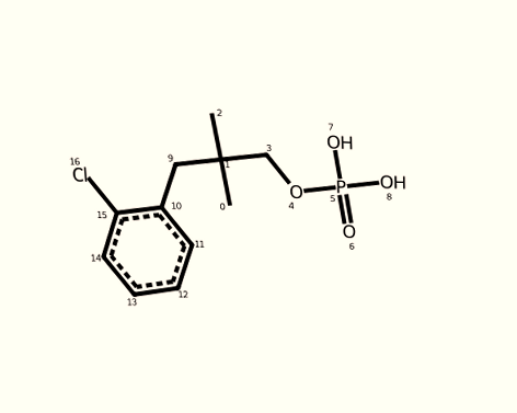 CC(C)(COP(=O)(O)O)Cc1ccccc1Cl